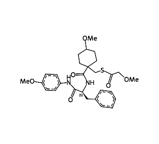 COCC(=O)SCC1(C(=O)N[C@@H](Cc2ccccc2)C(=O)Nc2ccc(OC)cc2)CCC(OC)CC1